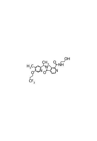 Cc1cc(C(C)N2Cc3c(ccnc3C(=O)NCCO)C2=O)ncc1OCCC(F)(F)F